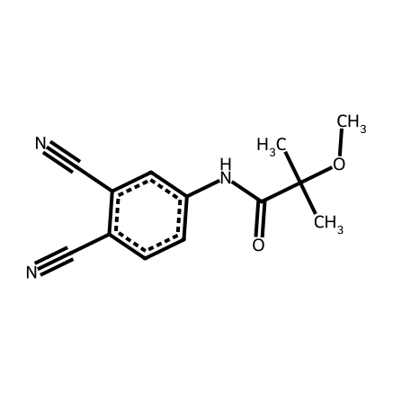 COC(C)(C)C(=O)Nc1ccc(C#N)c(C#N)c1